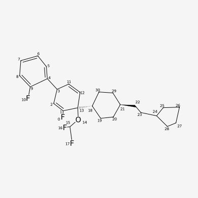 FC1=CC(c2ccccc2F)C=CC1(OC(F)F)[C@H]1CC[C@H](CCC2CCCC2)CC1